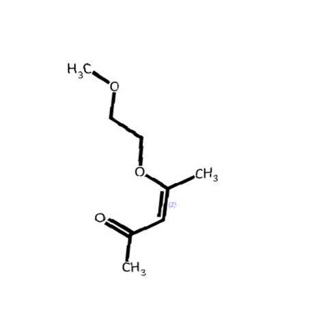 COCCO/C(C)=C\C(C)=O